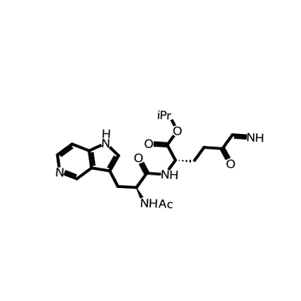 CC(=O)N[C@@H](Cc1c[nH]c2ccncc12)C(=O)N[C@@H](CCC(=O)C=N)C(=O)OC(C)C